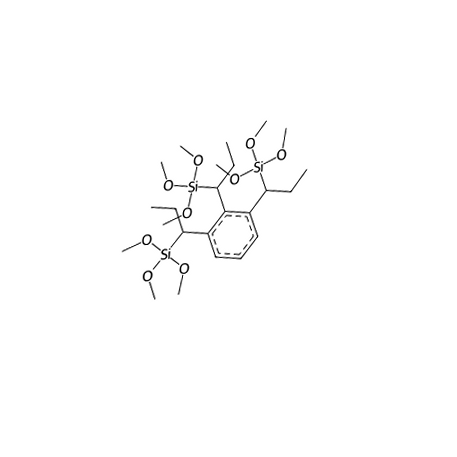 CCC(c1cccc(C(CC)[Si](OC)(OC)OC)c1C(CC)[Si](OC)(OC)OC)[Si](OC)(OC)OC